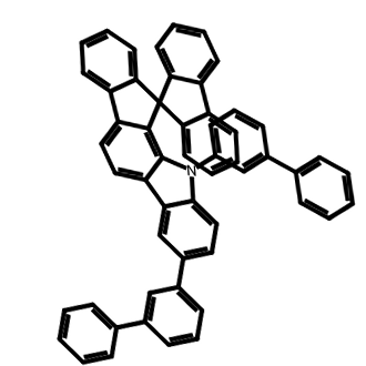 c1ccc(-c2cccc(-c3ccc4c(c3)c3ccc5c(c3n4-c3cccc(-c4ccccc4)c3)C3(c4ccccc4-c4ccccc43)c3ccccc3-5)c2)cc1